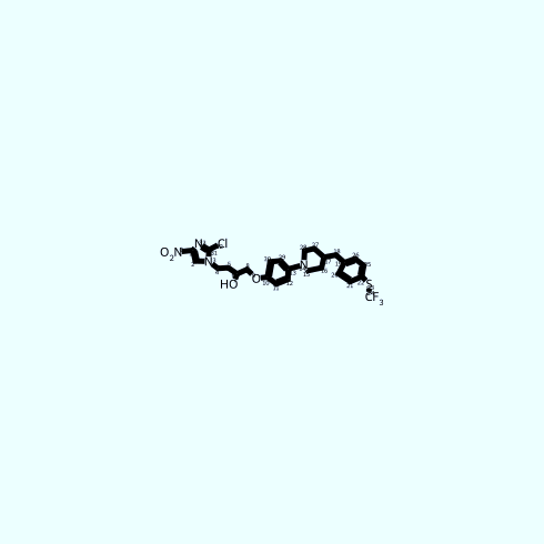 O=[N+]([O-])c1cn(CCC(O)COc2ccc(N3CCC(Cc4ccc(SC(F)(F)F)cc4)CC3)cc2)c(Cl)n1